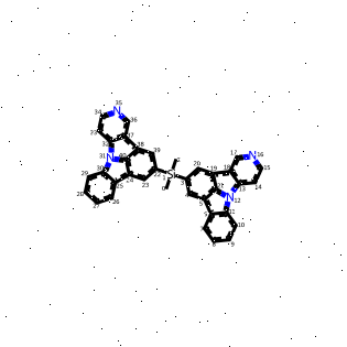 C[Si](C)(c1cc2c3ccccc3n3c4ccncc4c(c1)c23)c1cc2c3ccccc3n3c4ccncc4c(c1)c23